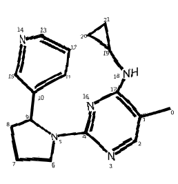 Cc1cnc(N2CCCC2c2cccnc2)nc1NC1CC1